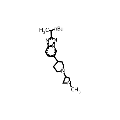 CCCCC(C)c1nc2ccc(C3CCN(C4CN(C)C4)CC3)cn2n1